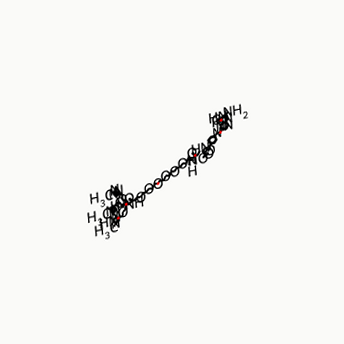 CN1C=C(COCC(COCc2cn(C)nn2)(COCc2cn(C)nn2)NC(=O)CCOCCOCCOCCOCCOCCOCCNC(=O)CC[C@H](NC(=O)c2ccc(NCc3cnc4nc(N)[nH]c(=O)c4n3)cc2)C(=O)O)NN1